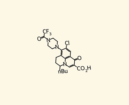 CCCCC1CCc2c(N3CCN(C(=O)C(F)(F)F)CC3)c(Cl)cc3c(=O)c(C(=O)O)cn1c23